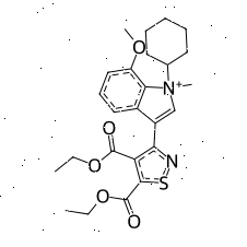 CCOC(=O)c1snc(C2=C[N+](C)(C3CCCCC3)c3c(OC)cccc32)c1C(=O)OCC